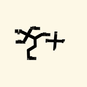 CCCCCCCCCCCCC(CCCCCC)C(P)(CCCCCC)CCCCCC.F[B-](F)(F)F